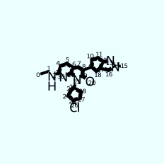 CCNc1ccc2cc(-c3ccc4nn(C)cc4c3)c(=O)n(-c3ccc(Cl)cc3)c2n1